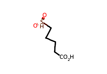 O=C(O)CCCC[SH](=O)=O